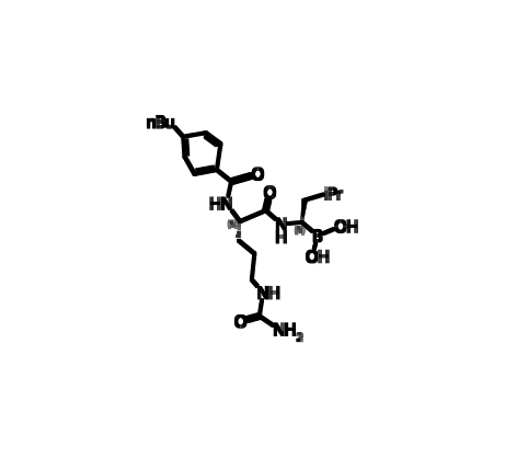 CCCCc1ccc(C(=O)N[C@@H](CCCNC(N)=O)C(=O)N[C@@H](CC(C)C)B(O)O)cc1